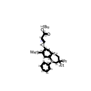 CCC1(C(C)C)CSc2cc(O/C=C/C(=O)OC(C)(C)C)c(SC)cc2N(c2ccccc2)C1